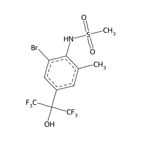 Cc1cc(C(O)(C(F)(F)F)C(F)(F)F)cc(Br)c1NS(C)(=O)=O